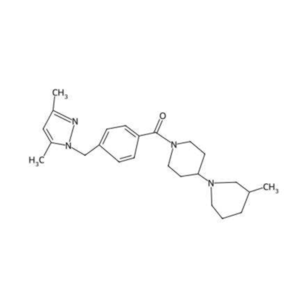 Cc1cc(C)n(Cc2ccc(C(=O)N3CCC(N4CCCC(C)C4)CC3)cc2)n1